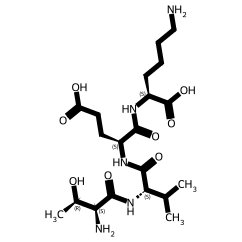 CC(C)[C@H](NC(=O)[C@@H](N)[C@@H](C)O)C(=O)N[C@@H](CCC(=O)O)C(=O)N[C@@H](CCCCN)C(=O)O